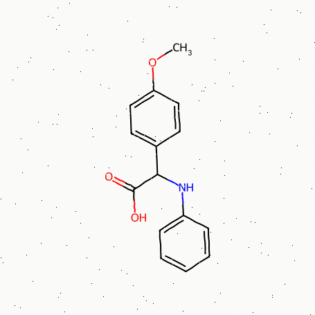 COc1ccc(C(Nc2ccccc2)C(=O)O)cc1